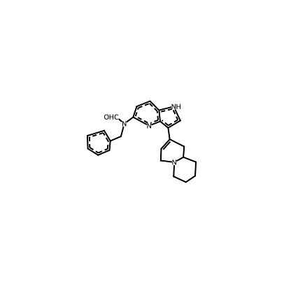 O=CN(Cc1ccccc1)c1ccc2[nH]cc(C3=CCN4CCCCC4C3)c2n1